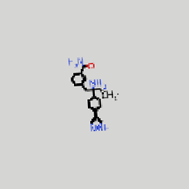 [CH2]CC(N)(Cc1cccc(C(N)=O)c1)c1ccc(-c2cn[nH]c2)cc1